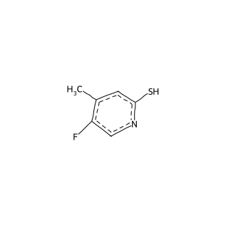 Cc1cc(S)ncc1F